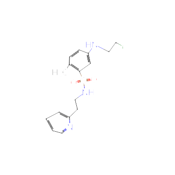 Cc1ccc(NCCCl)cc1S(=O)(=O)NCCc1ccccn1